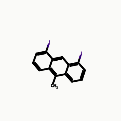 Cc1c2cccc(I)c2cc2c(I)cccc12